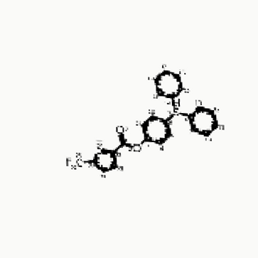 O=C(Oc1ccc([SH](c2ccccc2)c2ccccc2)cc1)c1ccc(C(F)(F)F)s1